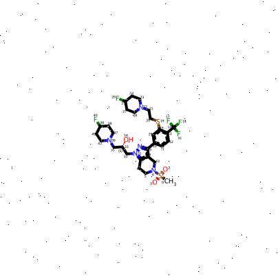 CS(=O)(=O)N1CCc2c(c(-c3ccc(C(F)(F)F)c(SCCN4CCC(F)CC4)c3)nn2C[C@@H](O)CN2CCC(F)CC2)C1